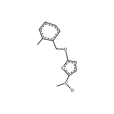 Cc1ccccc1COc1ncc([S+](C)[O-])s1